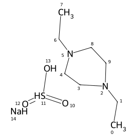 CCN1CCN(CC)CC1.O=[SH](=O)O.[NaH]